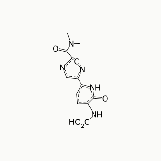 CN(C)C(=O)c1cnc(-c2ccc(NC(=O)O)c(=O)[nH]2)cn1